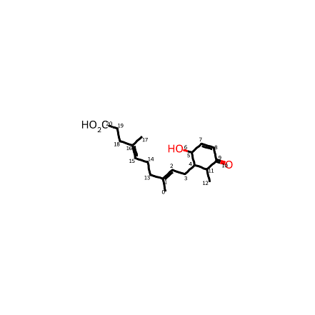 C/C(=C\CC1C(O)C=CC(=O)C1C)CC/C=C(\C)CCC(=O)O